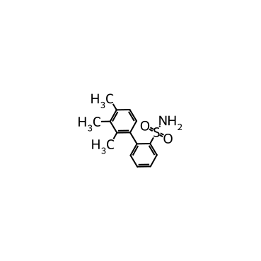 Cc1ccc(-c2ccccc2S(N)(=O)=O)c(C)c1C